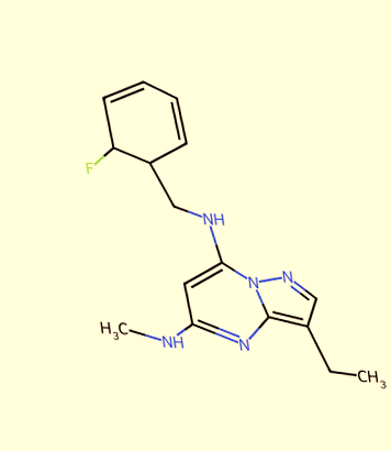 CCc1cnn2c(NCC3C=CC=CC3F)cc(NC)nc12